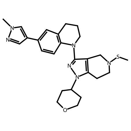 CSN1CCc2c(c(N3CCCc4cc(-c5cnn(C)c5)ccc43)nn2C2CCOCC2)C1